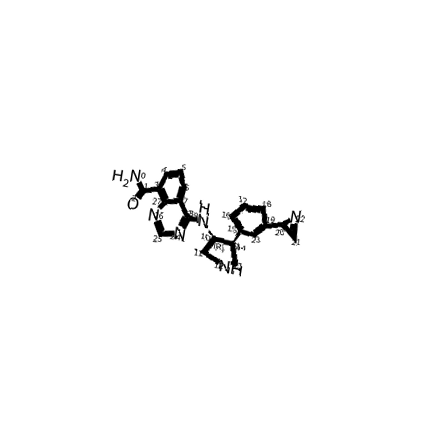 NC(=O)c1cccc2c(N[C@H]3CNC[C@@H]3c3cccc(C4C=N4)c3)ncnc12